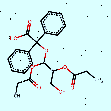 CCC(=O)OC(CO)C(OC(=O)CC)OC(C(=O)O)(c1ccccc1)c1ccccc1